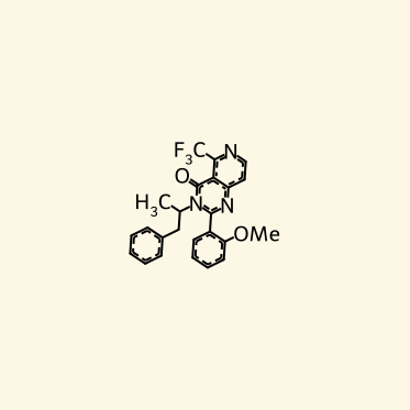 COc1ccccc1-c1nc2ccnc(C(F)(F)F)c2c(=O)n1C(C)Cc1ccccc1